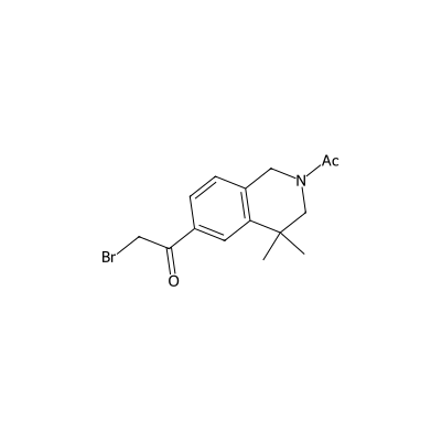 CC(=O)N1Cc2ccc(C(=O)CBr)cc2C(C)(C)C1